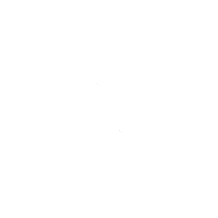 Cn1c2ccc(Br)cc2c2cc3c(cc21)c1cc(Br)ccc1n3C